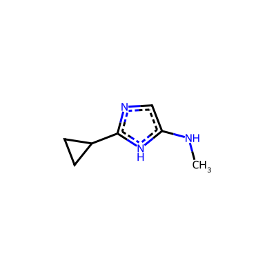 CNc1cnc(C2CC2)[nH]1